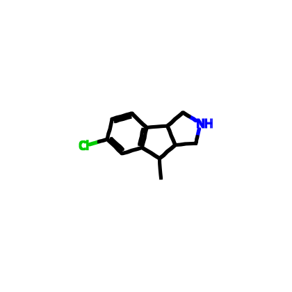 CC1c2cc(Cl)ccc2C2CNCC12